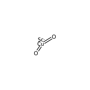 [O]=[Cu]=[O].[Sc]